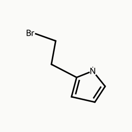 BrCCC1=CC=C[N]1